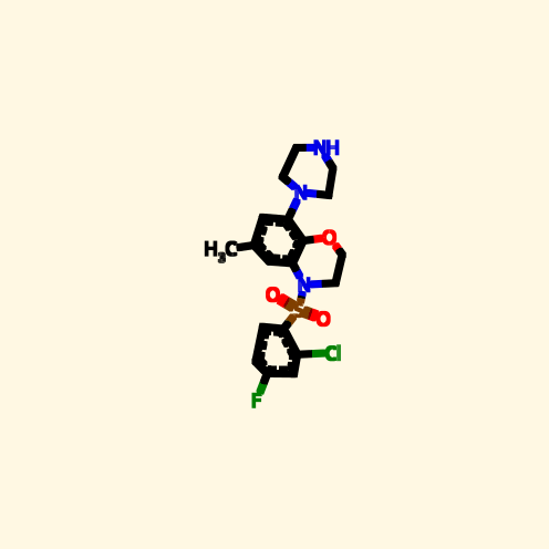 Cc1cc(N2CCNCC2)c2c(c1)N(S(=O)(=O)c1ccc(F)cc1Cl)CCO2